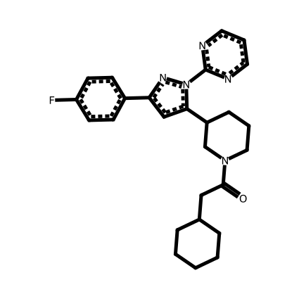 O=C(CC1CCCCC1)N1CCCC(c2cc(-c3ccc(F)cc3)nn2-c2ncccn2)C1